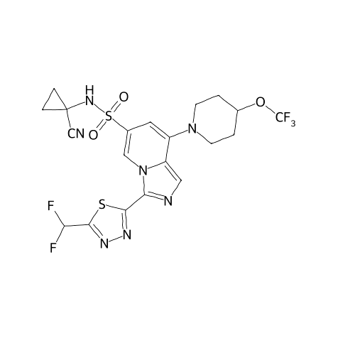 N#CC1(NS(=O)(=O)c2cc(N3CCC(OC(F)(F)F)CC3)c3cnc(-c4nnc(C(F)F)s4)n3c2)CC1